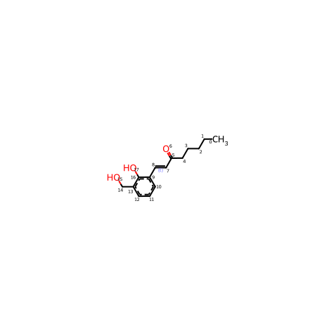 CCCCCC(=O)/C=C/c1cccc(CO)c1O